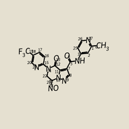 Cc1cc(NC(=O)c2cnn3c2C(=O)N(c2ccc(C(F)(F)F)cn2)C[C@@H]3N=O)ccn1